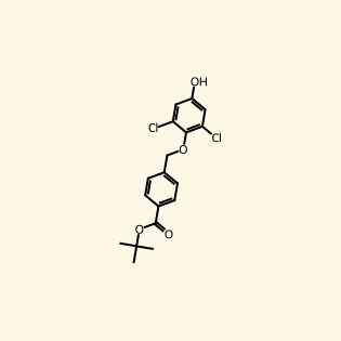 CC(C)(C)OC(=O)c1ccc(COc2c(Cl)cc(O)cc2Cl)cc1